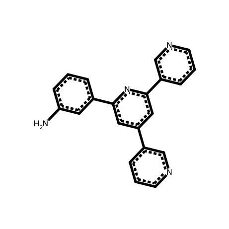 Nc1cccc(-c2cc(-c3cccnc3)cc(-c3cccnc3)n2)c1